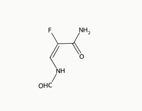 NC(=O)/C(F)=C\NC=O